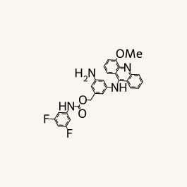 COc1cccc2c(Nc3cc(N)cc(COC(=O)Nc4cc(F)cc(F)c4)c3)c3ccccc3nc12